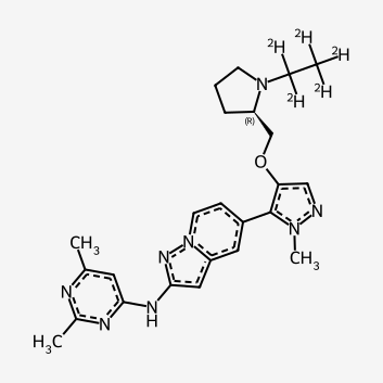 [2H]C([2H])([2H])C([2H])([2H])N1CCC[C@@H]1COc1cnn(C)c1-c1ccn2nc(Nc3cc(C)nc(C)n3)cc2c1